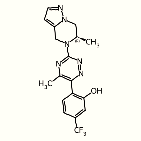 Cc1nc(N2Cc3ccnn3C[C@H]2C)nnc1-c1ccc(C(F)(F)F)cc1O